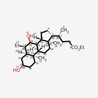 CCOC(=O)CC[C@@H](C)[C@H]1CC[C@H]2[C@@H]3[C@H](O)[C@H](CC)[C@@H]4C[C@H](O)CC[C@]4(C)[C@H]3CC[C@]12C